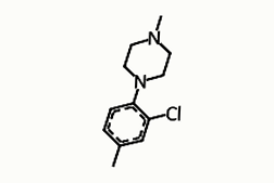 Cc1ccc(N2CCN(C)CC2)c(Cl)c1